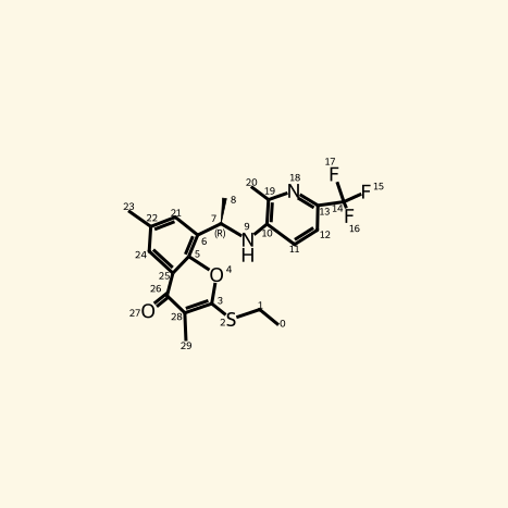 CCSc1oc2c([C@@H](C)Nc3ccc(C(F)(F)F)nc3C)cc(C)cc2c(=O)c1C